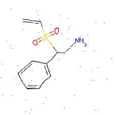 C=CS(=O)(=O)C(CN)c1ccccc1